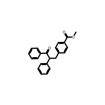 COC(=O)c1ccc(CC(C(=O)c2ccccc2)c2ccccc2)cc1